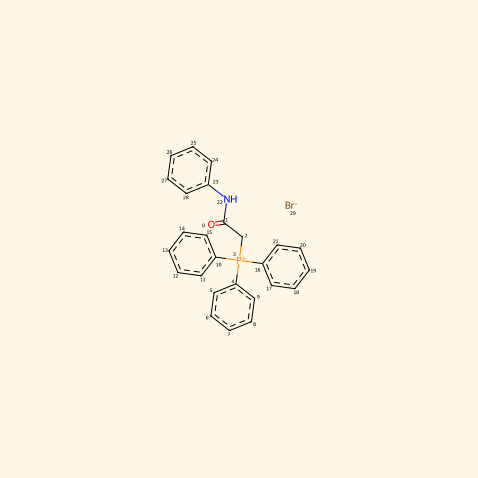 O=C(C[P+](c1ccccc1)(c1ccccc1)c1ccccc1)Nc1ccccc1.[Br-]